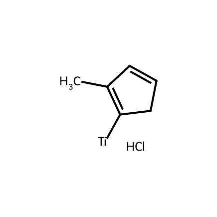 CC1=[C]([Ti])CC=C1.Cl